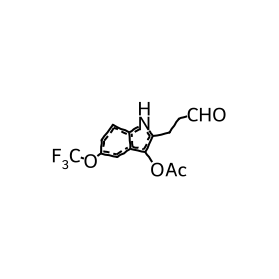 CC(=O)Oc1c(CCC=O)[nH]c2ccc(OC(F)(F)F)cc12